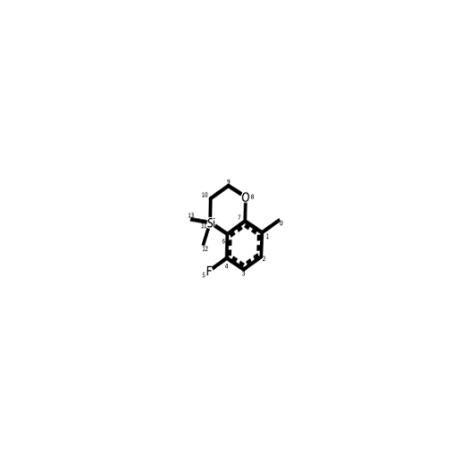 Cc1ccc(F)c2c1OCC[Si]2(C)C